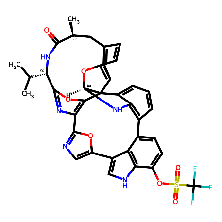 CC(C)[C@@H]1NC(=O)[C@@H](C)Cc2ccc3c(c2)C24c5cccc(c5N[C@H]2O3)-c2ccc(OS(=O)(=O)C(F)(F)F)c3[nH]cc(c23)-c2cnc(o2)-c2nc1oc24